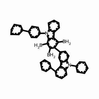 Bc1c(-c2ccc3c(c2)c2c(-c4ccccc4)cccc2n3-c2ccccc2)c(B)c2c3ccccc3n(-c3ccc(-c4ccccc4)cc3)c2c1B